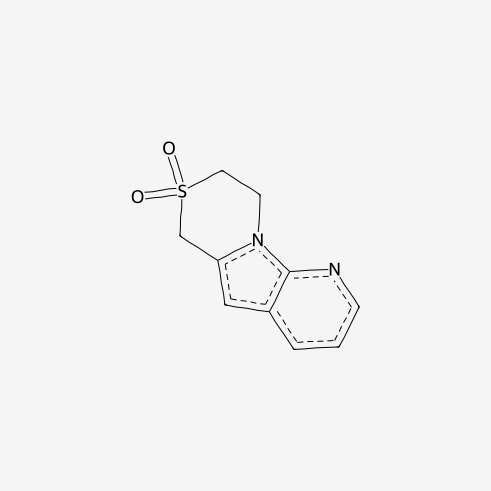 O=S1(=O)CCn2c(cc3cccnc32)C1